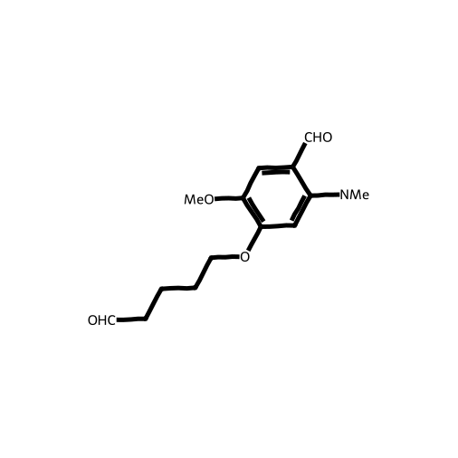 CNc1cc(OCCCCC=O)c(OC)cc1C=O